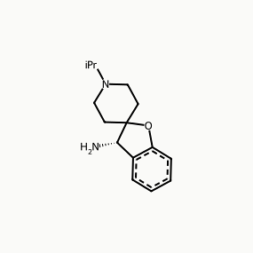 CC(C)N1CCC2(CC1)Oc1ccccc1[C@@H]2N